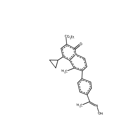 CCOC(=O)c1cc(C2CC2)c2c(C)c(-c3ccc(/C(C)=N/O)cc3)ccn2c1=O